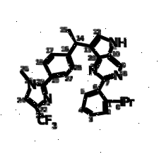 CC(C)c1ccccc1-c1ncc2[nH]cc([C@H](C)c3ccc(-c4nc(C(F)(F)F)cn4C)cc3)c2n1